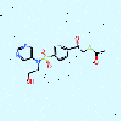 CC(=O)SCC(=O)c1ccc(S(=O)(=O)N(CCO)c2cncnc2)cc1